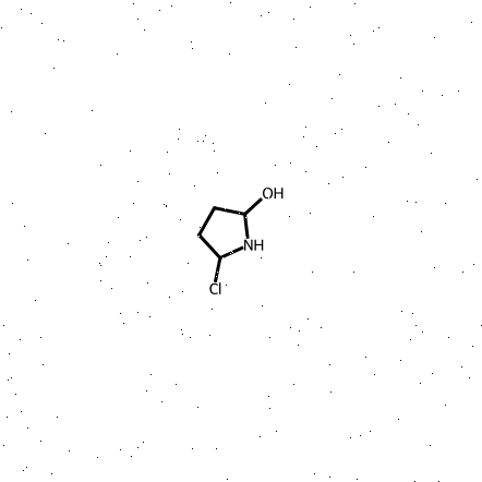 OC1CCC(Cl)N1